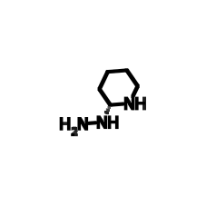 NN[C@@H]1CCCCN1